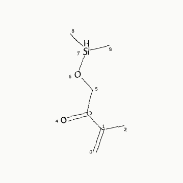 C=C(C)C(=O)CO[SiH](C)C